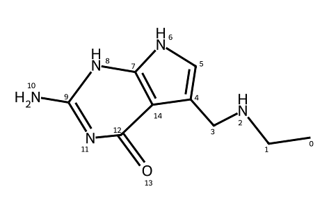 CCNCc1c[nH]c2[nH]c(N)nc(=O)c12